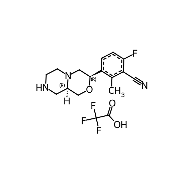 Cc1c([C@@H]2CN3CCNC[C@@H]3CO2)ccc(F)c1C#N.O=C(O)C(F)(F)F